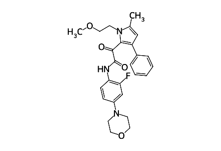 COCCn1c(C)cc(-c2ccccc2)c1C(=O)C(=O)Nc1ccc(N2CCOCC2)cc1F